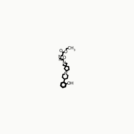 CCOC(=O)c1nnc(N2CC3(CC[C@@H](N4CCC(c5ccccc5O)CC4)C3)C2)o1